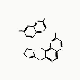 Cc1cnc2ccc(N)cc2n1.Cc1cnc2ccc(NC3=NCCN3)c(Br)c2n1